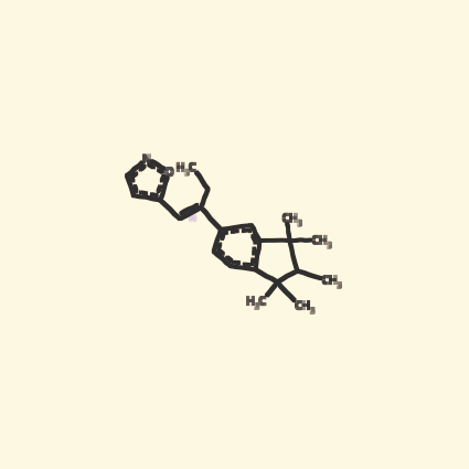 CC/C(=C\c1ccno1)c1ccc2c(c1)C(C)(C)C(C)C2(C)C